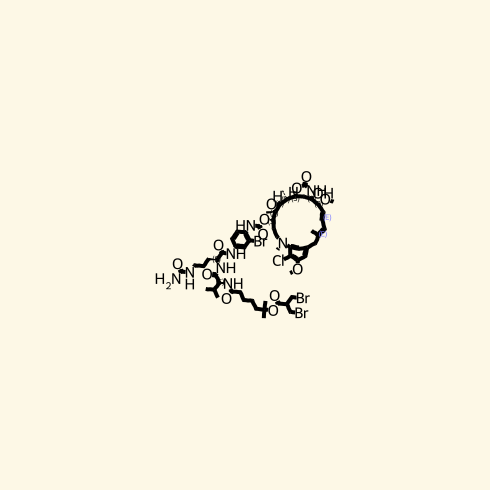 COc1cc2cc(c1Cl)N(C)CC[C@H](OC(=O)Nc1ccc(NC(=O)[C@H](CCCNC(N)=O)NC(=O)[C@@H](NC(=O)CCCCC(C)(C)OC(=O)C(CBr)CBr)C(C)C)cc1Br)[C@]1(C)O[C@H]1[C@H](C)[C@@H]1C[C@@](O)(NC(=O)O1)[C@H](OC)/C=C/C=C(\C)C2